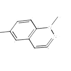 Cc1ccc2c(c1)C=C=NN2C